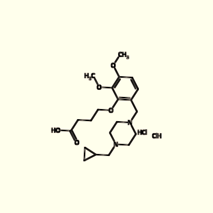 COc1ccc(CN2CCN(CC3CC3)CC2)c(OCCCC(=O)O)c1OC.Cl.Cl